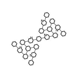 c1ccc(-c2ccc(-c3ccccc3-c3cc(-c4ccccc4-c4ccc(-c5ccccc5)nc4)cc(-c4ccccc4-c4ccc(-c5ccc(-c6ccc(-c7ccccc7-c7cc(-c8ccccc8-c8ccc(-c9ccccc9)nc8)cc(-c8ccccc8-c8ccc(-c9ccccc9)nc8)c7)cn6)cc5)nc4)c3)cn2)cc1